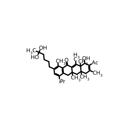 CC(=O)C1=C(C)CC2(C)CC3(C)Cc4c(C(C)C)cc(CCCCC(C)(O)O)c(C)c4C(=O)C3=C(C)C2(C)C1O